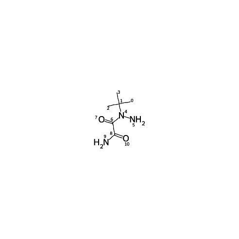 CC(C)(C)N(N)C(=O)C(N)=O